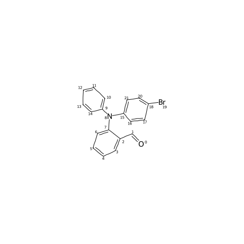 O=Cc1ccccc1N(c1ccccc1)c1ccc(Br)cc1